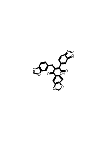 O=C(O)C(=C(Cc1ccc2c(c1)OCO2)C(=O)c1ccc2c(c1)OCO2)c1ccc2nsnc2c1